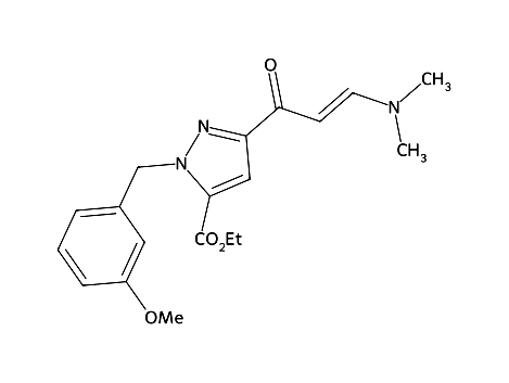 CCOC(=O)c1cc(C(=O)/C=C/N(C)C)nn1Cc1cccc(OC)c1